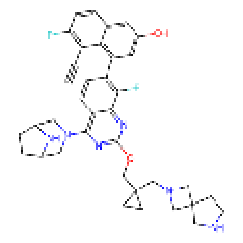 C#Cc1c(F)ccc2cc(O)cc(-c3ccc4c(N5CC6CCC(C5)N6)nc(OCC5(CN6CC7(CCNC7)C6)CC5)nc4c3F)c12